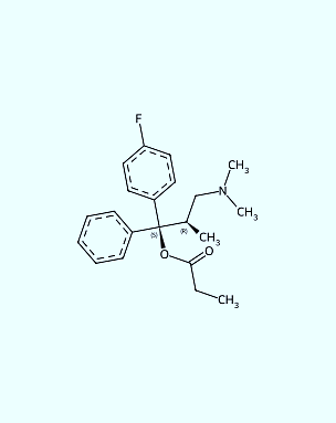 CCC(=O)O[C@@](c1ccccc1)(c1ccc(F)cc1)[C@H](C)CN(C)C